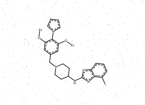 CCOc1cc(CN2CCC(Nc3nc4c(I)cccc4o3)CC2)cc(OCC)c1-n1cccc1